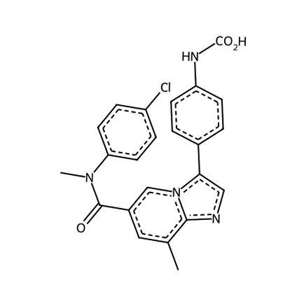 Cc1cc(C(=O)N(C)c2ccc(Cl)cc2)cn2c(-c3ccc(NC(=O)O)cc3)cnc12